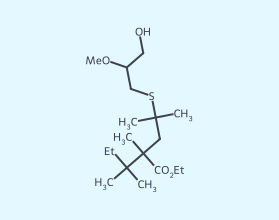 CCOC(=O)C(C)(CC(C)(C)SCC(CO)OC)C(C)(C)CC